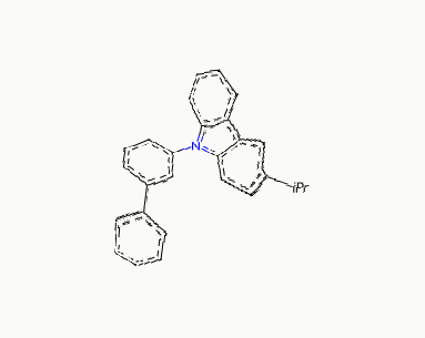 CC(C)c1ccc2c(c1)c1ccccc1n2-c1cccc(-c2ccccc2)c1